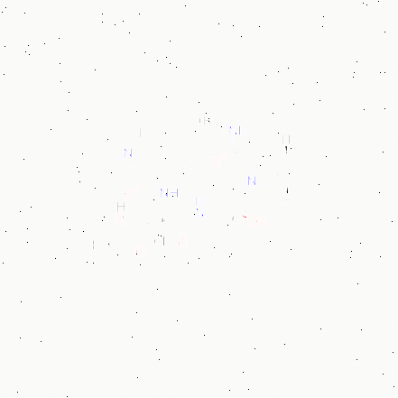 CN(CC(=O)N[C@H](C(=O)N[C@@H](Cc1ccccc1)[C@H](O)CN1C[C@H]2CCCC[C@H]2C[C@H]1C(=O)NC(C)(C)C)C(C)(C)S(C)(=O)=O)c1ccccc1